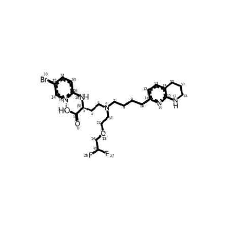 O=C(O)[C@H](CCN(CCCCc1ccc2c(n1)NCCC2)CCOCC(F)F)Nc1ccc(Br)cn1